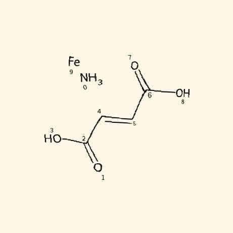 N.O=C(O)/C=C/C(=O)O.[Fe]